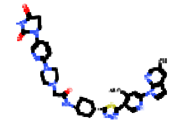 CNc1cc(-n2ccc3cc(C#N)cnc32)ncc1-c1nnc([C@H]2CC[C@H](NC(=O)CN3CCN(c4ccc(N5CCC(=O)NC5=O)cn4)CC3)CC2)s1